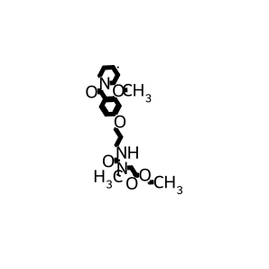 CCOC(=O)CN(C)C(=O)NCCCOc1ccc(C(=O)N2CC[CH]CC2)c(OC)c1